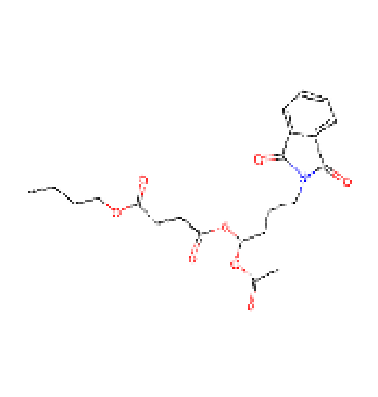 CCCCOC(=O)CCC(=O)OC(CCCN1C(=O)c2ccccc2C1=O)OC(C)=O